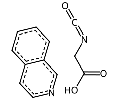 O=C=NCC(=O)O.c1ccc2cnccc2c1